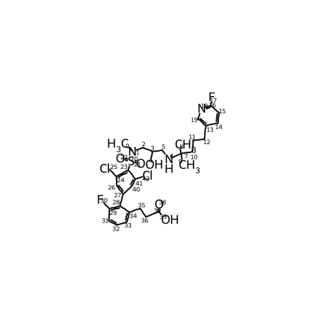 CN(CC(O)CNC(C)(C)CCCc1ccc(F)nc1)S(=O)(=O)c1c(Cl)cc(-c2c(F)cccc2CCC(=O)O)cc1Cl